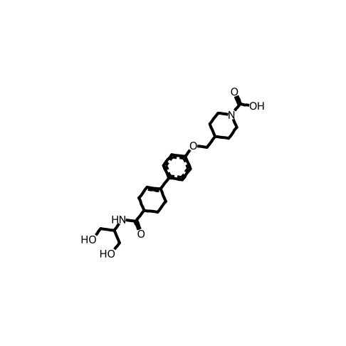 O=C(NC(CO)CO)C1CC=C(c2ccc(OCC3CCN(C(=O)O)CC3)cc2)CC1